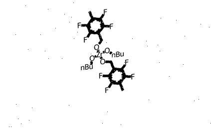 CCCC[O][Zr]([O]CCCC)([O]Cc1c(F)c(F)c(C)c(F)c1F)[O]Cc1c(F)c(F)c(C)c(F)c1F